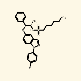 CCCCCCS(=O)(=O)N[C@@H](C)[C@@H](Oc1ccc2c(cnn2-c2ccc(F)cc2)c1)c1ccccc1